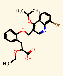 CCOC(Cc1ccccc1OCc1cnc2c(Br)cccc2c1OC(C)C)C(=O)O